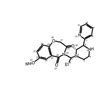 CCC(N1CCNC(c2ccccn2)C1)N1C(=O)COc2ccc(OC)cc2C1=O